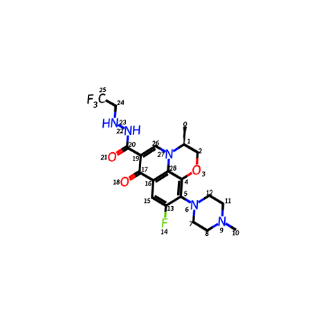 C[C@H]1COc2c(N3CCN(C)CC3)c(F)cc3c(=O)c(C(=O)NNCC(F)(F)F)cn1c23